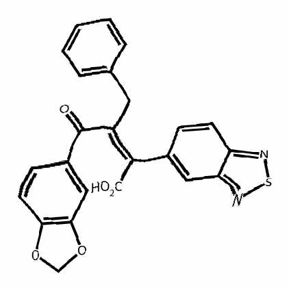 O=C(O)C(=C(Cc1ccccc1)C(=O)c1ccc2c(c1)OCO2)c1ccc2nsnc2c1